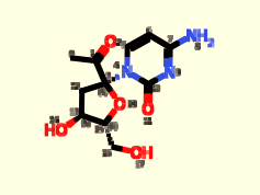 CC(=O)[C@]1(n2ccc(N)nc2=O)C[C@H](O)[C@@H](CO)O1